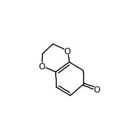 O=C1C=CC2=C(C1)OCCO2